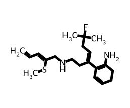 C=C/C=C(/CNCC/C(=C\CC(C)(C)F)C1=C(N)CCC=C1)SC